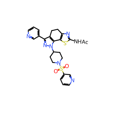 CC(=O)Nc1nc2c(s1)-c1c(c(-c3cccnc3)nn1C1CCN(S(=O)(=O)c3cccnc3)CC1)CC2